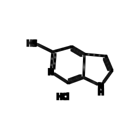 Cl.Sc1cc2cc[nH]c2cn1